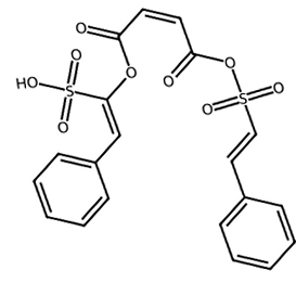 O=C(/C=C\C(=O)OS(=O)(=O)C=Cc1ccccc1)OC(=Cc1ccccc1)S(=O)(=O)O